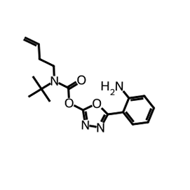 C=CCCN(C(=O)Oc1nnc(-c2ccccc2N)o1)C(C)(C)C